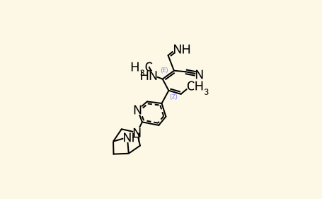 C/C=C(\C(NC)=C(/C#N)C=N)c1ccc(N2CC3CC(C2)N3)nc1